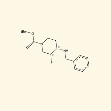 CC(C)(C)OC(=O)N1CC[C@H](NCc2ccccc2)[C@H](F)C1